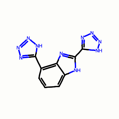 c1cc(-c2nnn[nH]2)c2nc(-c3nnn[nH]3)[nH]c2c1